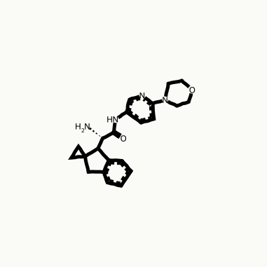 N[C@H](C(=O)Nc1ccc(N2CCOCC2)nc1)C1c2ccccc2CC12CC2